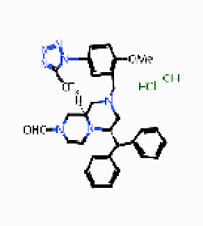 COc1ccc(-n2nnnc2C(F)(F)F)cc1CN1C[C@@H]2CN(C=O)CCN2[C@H](C(c2ccccc2)c2ccccc2)C1.Cl.Cl